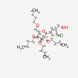 CCCCOC[C@H]1OC(c2cc(CO)c(Cl)s2)[C@H](OCCCC)[C@@H](OCCCC)[C@@H]1OCCCC